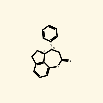 O=C1C[C@@H](c2ccccc2)[C@H]2CCc3cccc(c32)O1